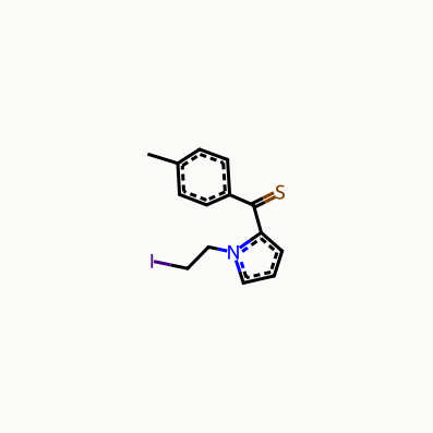 Cc1ccc(C(=S)c2cccn2CCI)cc1